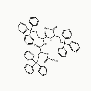 CNC(=O)C(CSC(c1ccccc1)(c1ccccc1)c1ccccc1)NC(=O)C(CSC(c1ccccc1)(c1ccccc1)c1ccccc1)NC(=O)C(CSC(c1ccccc1)(c1ccccc1)c1ccccc1)NC(=O)OC